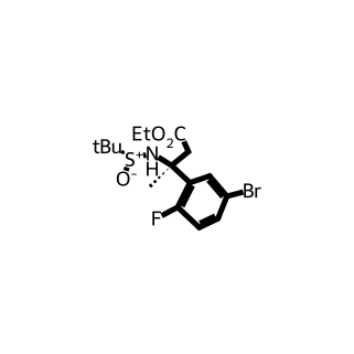 CCOC(=O)C[C@](C)(N[S@+]([O-])C(C)(C)C)c1cc(Br)ccc1F